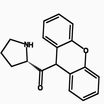 O=C(C1c2ccccc2Oc2ccccc21)[C@@H]1CCCN1